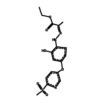 CCOC(=O)/C(C)=N\Nc1ccc(Oc2ccc(S(C)(=O)=O)nc2)cc1O